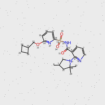 CC1CN(c2ncccc2C(=O)NS(=O)(=O)c2cccc(OCC3CCC3)n2)C(C)(C)C1